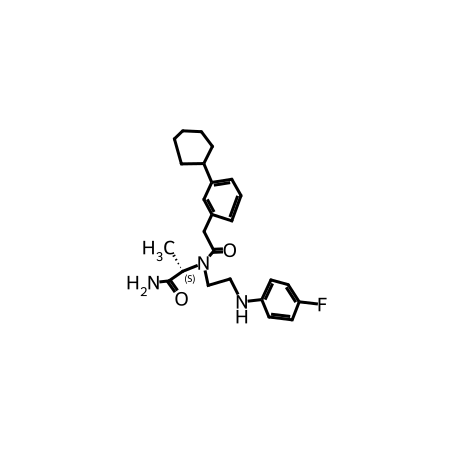 C[C@@H](C(N)=O)N(CCNc1ccc(F)cc1)C(=O)Cc1cccc(C2CCCCC2)c1